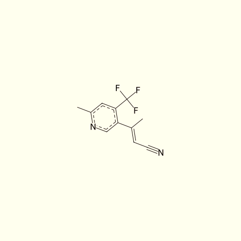 C/C(=C\C#N)c1cnc(C)cc1C(F)(F)F